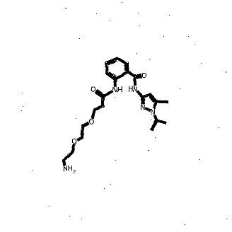 Cc1cc(NC(=O)c2ccccc2NC(=O)CCOCCOCCN)nn1C(C)C